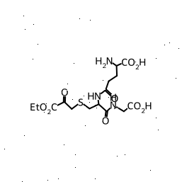 CCOC(=O)C(=O)CSCC(NC(=O)CCC(N)C(=O)O)C(=O)NCC(=O)O